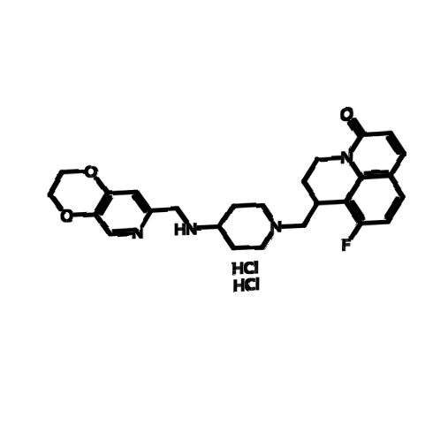 Cl.Cl.O=c1ccc2ccc(F)c3c2n1CCC3CN1CCC(NCc2cc3c(cn2)OCCO3)CC1